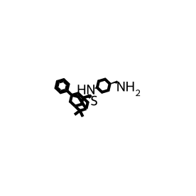 CC1(C)C2CC3(C(=S)N[C@H]4CC[C@H](CN)CC4)CC1CC(c1ccccc1)(C2)C3